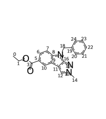 CCOC(=O)c1ccc2c(c1)c1cn(C)nc1n2Cc1ccccc1